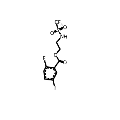 O=C(OCCNS(=O)(=O)C(F)(F)F)c1cc(I)ccc1F